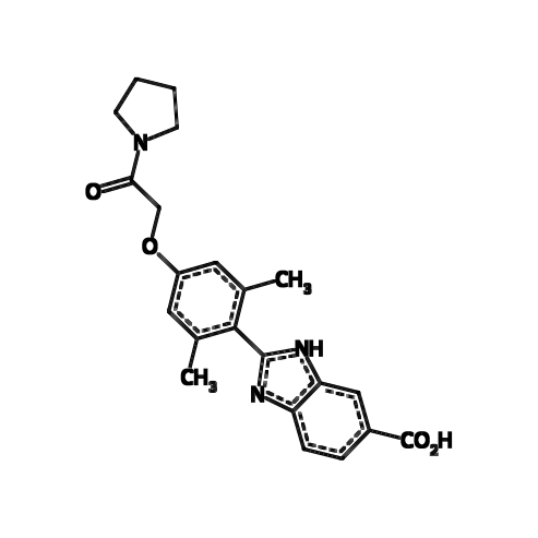 Cc1cc(OCC(=O)N2CCCC2)cc(C)c1-c1nc2ccc(C(=O)O)cc2[nH]1